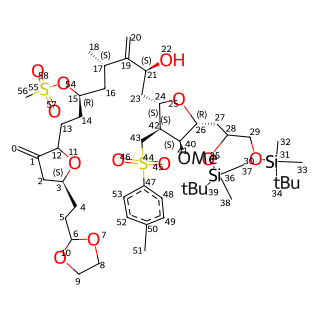 C=C1C[C@H](CCC2OCCO2)OC1CC[C@H](C[C@H](C)C(=C)[C@@H](O)C[C@@H]1O[C@H](CC(CO[Si](C)(C)C(C)(C)C)O[Si](C)(C)C(C)(C)C)[C@@H](OC)[C@H]1CS(=O)(=O)c1ccc(C)cc1)OS(C)(=O)=O